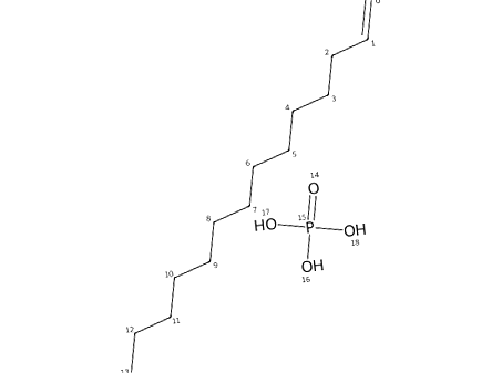 C=CCCCCCCCCCCCC.O=P(O)(O)O